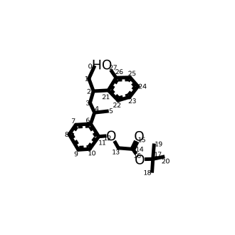 CCC(CC(C)c1ccccc1OCC(=O)OC(C)(C)C)c1ccccc1O